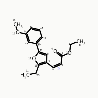 CCOC(=O)/C=C\c1cc(-c2cccc(OC)c2)oc1CC